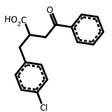 O=C(CC(Cc1ccc(Cl)cc1)C(=O)O)c1ccccc1